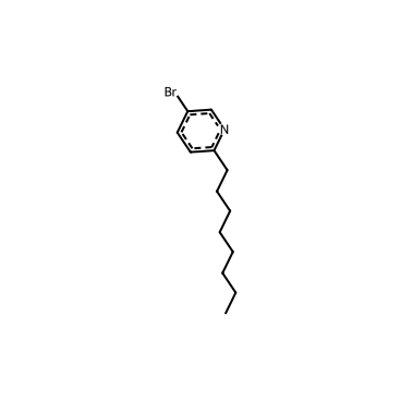 CCCCCCCCc1ccc(Br)cn1